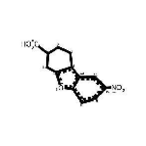 O=C(O)C1CCc2c(oc3ccc([N+](=O)[O-])cc23)C1